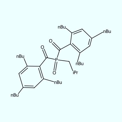 CCCCc1cc(CCCC)c(C(=O)P(=O)(CC(C)C)C(=O)c2c(CCCC)cc(CCCC)cc2CCCC)c(CCCC)c1